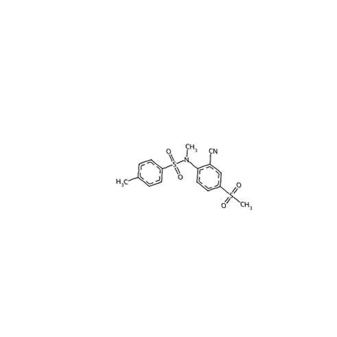 Cc1ccc(S(=O)(=O)N(C)c2ccc(S(C)(=O)=O)cc2C#N)cc1